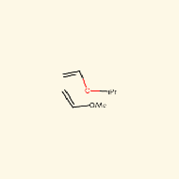 C=COC.C=COC(C)C